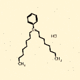 CCCCCCC[CH2][Sn]([CH2]CCCCCCC)[c]1ccccc1.Cl